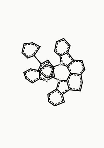 c1ccc(-c2ccc(-n3c4ccccc4c4ccc5ccc6c7ccccc7n(-c7cnc8ccccc8c7)c6c5c43)cc2)cc1